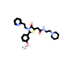 O=C(CC1SC(c2cccc(OC(F)(F)F)c2)N(CCc2ccccn2)C1=O)NCCN1CCCCC1